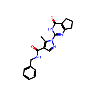 Cc1c(C(=O)NCc2ccccc2)cnn1-c1nc2c(c(=O)[nH]1)CCC2